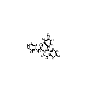 O=C(Nc1ccncc1)N1CCc2ccccc2[C@@H]1c1ccc(F)cc1